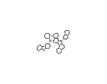 c1ccc(-c2ccccc2N(c2ccc3oc4ccccc4c3c2)c2ccc3c(c2)c2c4ccccc4ccc2n3-c2ccc3ccccc3c2)cc1